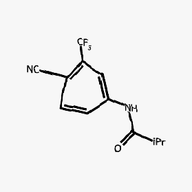 CC(C)C(=O)Nc1ccc(C#N)c(C(F)(F)F)c1